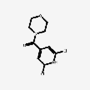 O=C(C1=CC(Cl)NC(Cl)=C1)N1CCOCC1